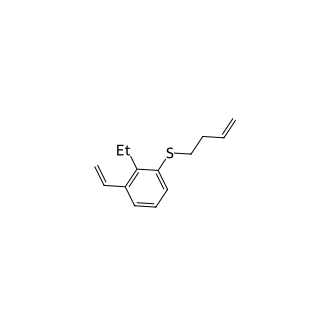 C=CCCSc1cccc(C=C)c1CC